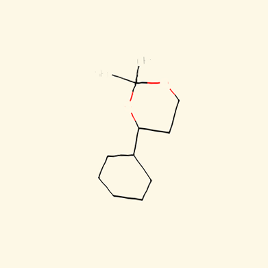 CCCC1(CCC)OC[CH]C(C2CCCCC2)O1